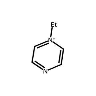 CC[n+]1ccncc1